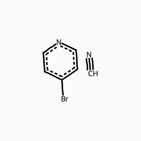 Brc1ccncc1.C#N